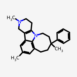 Cc1cc2c3c(c1)c1c(n3CCC(C)(c3ccccc3)CC2)CCN(C)C1